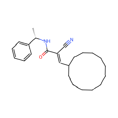 C[C@H](NC(=O)/C(C#N)=C/C1CCCCCCCCCCC1)c1ccccc1